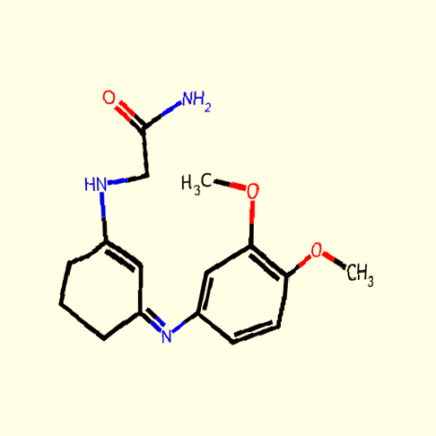 COc1ccc(N=C2C=C(NCC(N)=O)CCC2)cc1OC